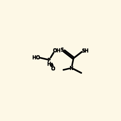 CN(C)C(=S)S.O=[PH](O)O